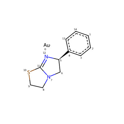 [Au].c1ccc([C@H]2CN3CCSC3=N2)cc1